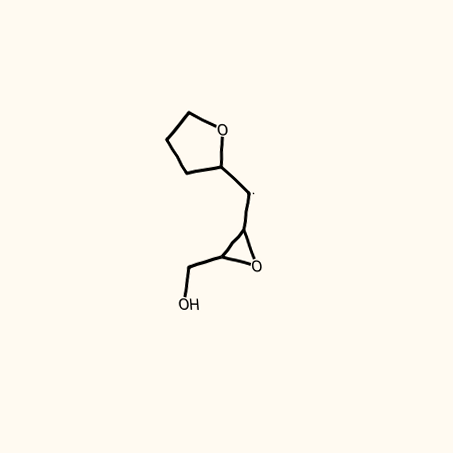 OCC1OC1[CH]C1CCCO1